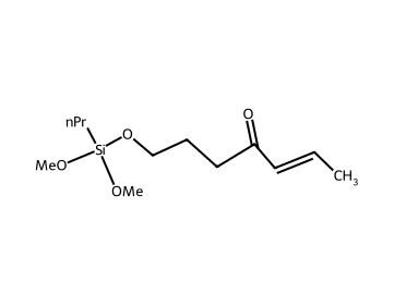 CC=CC(=O)CCCO[Si](CCC)(OC)OC